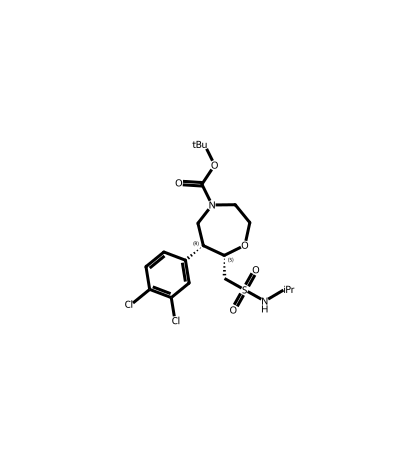 CC(C)NS(=O)(=O)C[C@H]1OCCN(C(=O)OC(C)(C)C)C[C@H]1c1ccc(Cl)c(Cl)c1